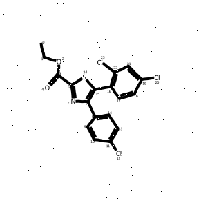 CCOC(=O)c1nc(-c2ccc(Cl)cc2)c(-c2ccc(Cl)cc2Cl)s1